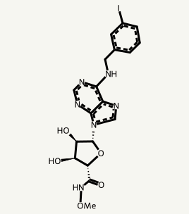 CONC(=O)[C@H]1O[C@@H](n2cnc3c(NCc4cccc(I)c4)ncnc32)[C@H](O)[C@@H]1O